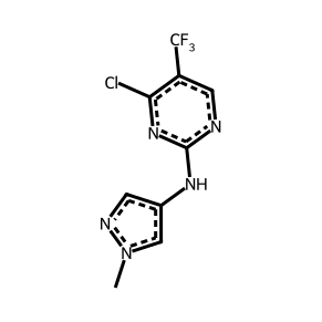 Cn1cc(Nc2ncc(C(F)(F)F)c(Cl)n2)cn1